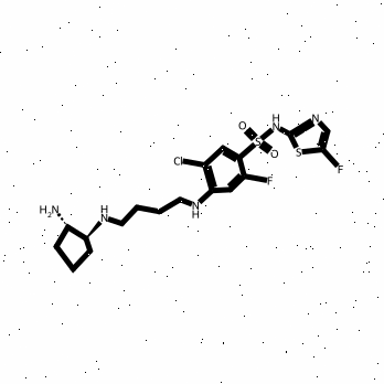 N[C@H]1CCC[C@@H]1NCCCCNc1cc(F)c(S(=O)(=O)Nc2ncc(F)s2)cc1Cl